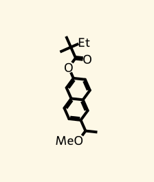 CCC(C)(C)C(=O)Oc1ccc2cc(C(C)OC)ccc2c1